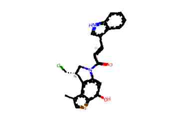 Cc1csc2c(O)cc3c(c12)[C@H](CCl)CN3C(=O)/C=C/c1c[nH]c2ccccc12